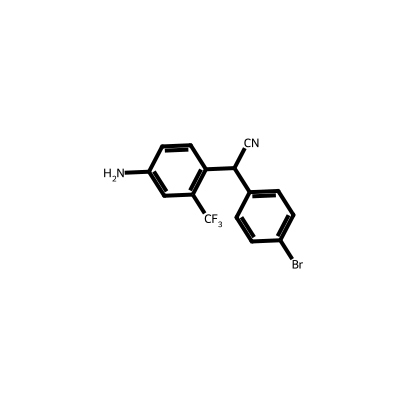 N#CC(c1ccc(Br)cc1)c1ccc(N)cc1C(F)(F)F